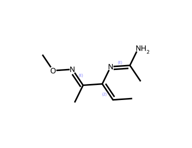 C/C=C(\N=C(/C)N)C(/C)=N/OC